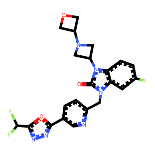 O=c1n(Cc2ccc(-c3nnc(C(F)F)o3)cn2)c2cc(F)ccc2n1C1CN(C2COC2)C1